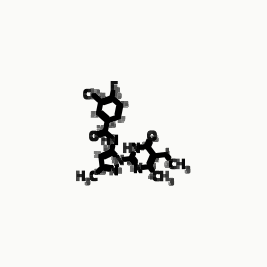 CCc1c(C)nc(-n2nc(C)cc2NC(=O)c2ccc(F)c(Cl)c2)[nH]c1=O